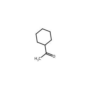 CC(=O)[C]1CCCCC1